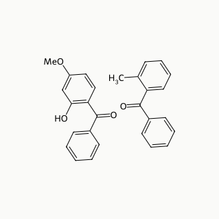 COc1ccc(C(=O)c2ccccc2)c(O)c1.Cc1ccccc1C(=O)c1ccccc1